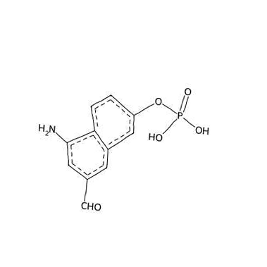 Nc1cc(C=O)cc2cc(OP(=O)(O)O)ccc12